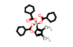 CC1=CC[C]([Ti]([O]C(=O)C2CCCCC2)([O]C(=O)C2CCCCC2)[O]C(=O)C2CCCCC2)=C1C